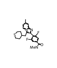 CNC(=O)c1cc(F)c(-c2nc3cc(C)ccn3c2CC2CCSCC2)c(F)c1